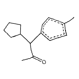 CC(=O)C(c1ccc(C)cc1)C1CCCC1